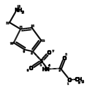 COC(=O)NS(=O)(=O)c1ccc(CN)cc1